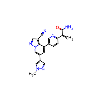 C=C(C(N)=O)c1ccc(-c2cc(-c3cnn(C)c3)cn3ncc(C#N)c23)cn1